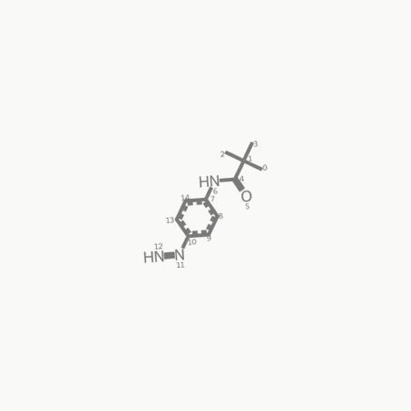 CC(C)(C)C(=O)Nc1ccc(N=N)cc1